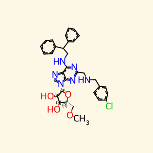 COC[C@H]1O[C@@H](n2cnc3c(NCC(c4ccccc4)c4ccccc4)nc(CNCc4ccc(Cl)cc4)nc32)[C@H](O)[C@@H]1O